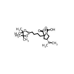 CN(C)[C@H]1CN(C(=O)O)C(CCCCB2OC(C)(C)C(C)(C)O2)(C(=O)O)C1